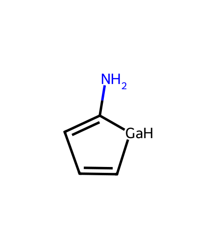 N[C]1=CC=[CH][GaH]1